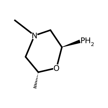 C[C@@H]1CN(C)C[C@@H](P)O1